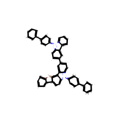 c1ccc(-c2ccc(-n3c4ccccc4c4cc(-c5ccc6c(c5)c5c7sc8ccccc8c7ccc5n6-c5ccc(-c6ccccc6)cc5)ccc43)cc2)cc1